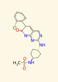 CS(=O)(=O)N[C@H]1CC[C@H](Nc2ncc3c(n2)=NC(=O)C(c2ccccc2Cl)C=3)CC1